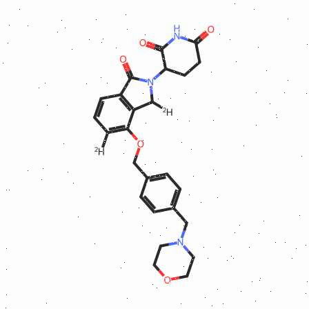 [2H]c1ccc2c(c1OCc1ccc(CN3CCOCC3)cc1)C([2H])N(C1CCC(=O)NC1=O)C2=O